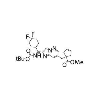 COC(=O)C1(Cc2cnn3cc([C@@H](NC(=O)OC(C)(C)C)C4CCC(F)(F)CC4)nc3c2)CC=CC1